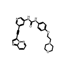 O=C(Nc1ccc(OCCN2CCOCC2)cc1)Nc1cncc(C#Cc2cnc3cccnn23)c1